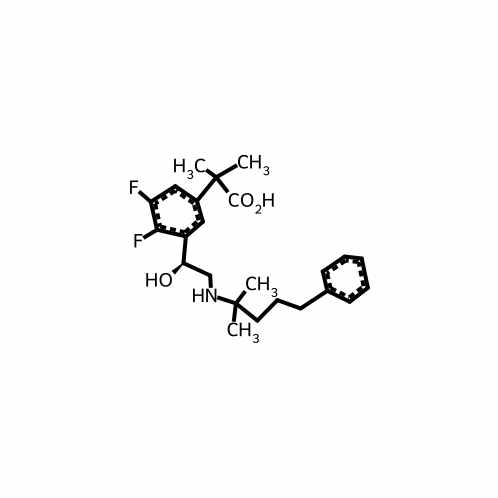 CC(C)(CCCc1ccccc1)NC[C@@H](O)c1cc(C(C)(C)C(=O)O)cc(F)c1F